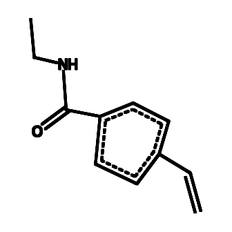 C=Cc1ccc(C(=O)NCC)cc1